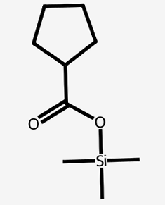 C[Si](C)(C)OC(=O)C1CCCC1